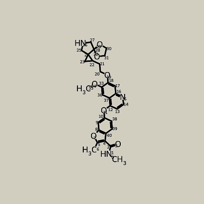 CNC(=O)c1c(C)oc2cc(Oc3ccnc4cc(OCCC5CC56CNCC65OCCO5)c(OC)cc34)ccc12